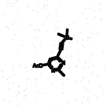 CC(=O)Oc1cc(C#C[Si](C)(C)C)nc(C)n1